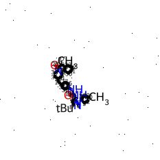 Cc1ccc(-n2nc(C(C)(C)C)cc2NC(=O)Nc2ccc(CC3CCN(C(=O)[C@@H](C)c4ccccc4)CC3)cc2)cc1